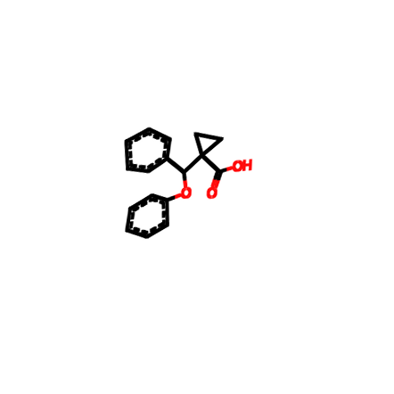 O=C(O)C1(C(Oc2ccccc2)c2ccccc2)CC1